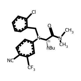 CCCC[C@@H](C(=O)N(C)C)N(Cc1ccccc1Cl)c1ccc(C#N)c(C(F)(F)F)c1